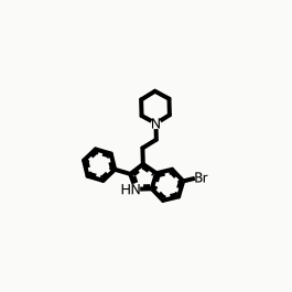 Brc1ccc2[nH]c(-c3ccccc3)c(CCN3CCCCC3)c2c1